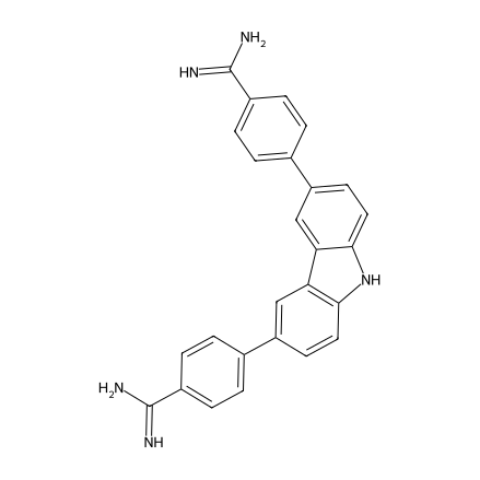 N=C(N)c1ccc(-c2ccc3[nH]c4ccc(-c5ccc(C(=N)N)cc5)cc4c3c2)cc1